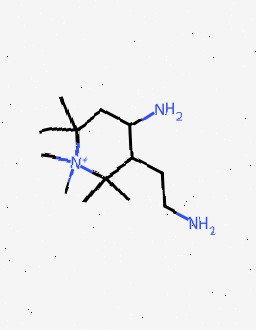 CC1(C)CC(N)C(CCN)C(C)(C)[N+]1(C)C